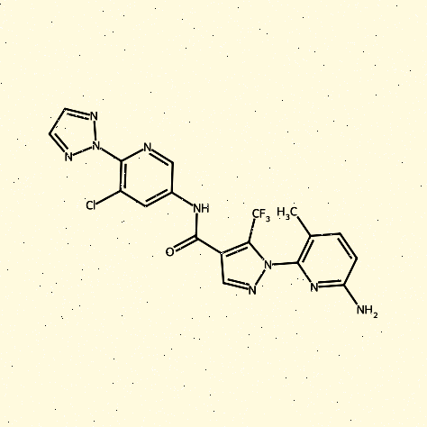 Cc1ccc(N)nc1-n1ncc(C(=O)Nc2cnc(-n3nccn3)c(Cl)c2)c1C(F)(F)F